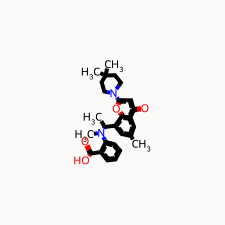 Cc1cc(C(C)N(C)c2ccccc2C(=O)O)c2oc(N3CCC(C)(C)CC3)cc(=O)c2c1